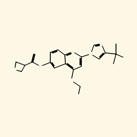 CCOc1cc(-n2cnc(C(C)(C)C)c2)nc2ccc(NC(=O)C3COC3)cc12